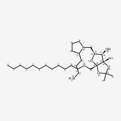 CCCCCCCCCCCCOC[C@@]12O[C@@H](CN3CCCC3CCCN)[C@@H](O)[C@@H]1OC(C)(C)O2